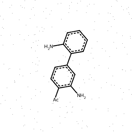 CC(=O)c1ccc(-c2ccccc2N)cc1N